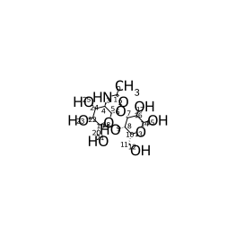 CC(=O)N[C@H]1[C@H](O[C@H]2[C@@H](O)[C@@H](CO)OC(O)[C@@H]2O)O[C@H](CO)[C@@H](O)[C@@H]1O